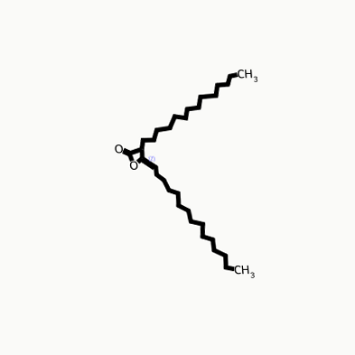 CCCCCCCCCCCCCC/C=C1\OC(=O)C1CCCCCCCCCCCCCC